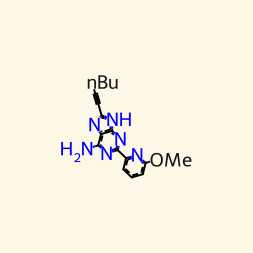 CCCCC#Cc1nc2c(N)nc(-c3cccc(OC)n3)nc2[nH]1